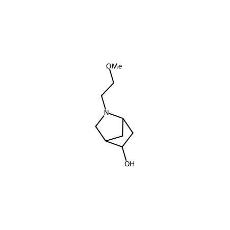 COCCN1CC2CC1CC2O